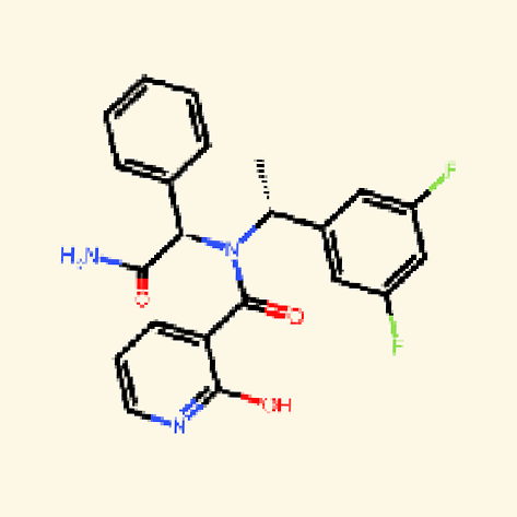 C[C@H](c1cc(F)cc(F)c1)N(C(=O)c1cccnc1O)[C@@H](C(N)=O)c1ccccc1